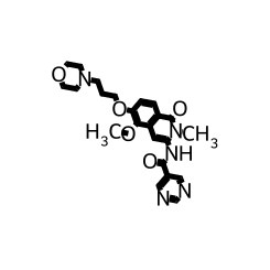 COc1c(OCCCN2CCOCC2)ccc2c(=O)n(C)c(NC(=O)c3cncnc3)cc12